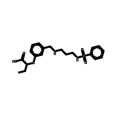 CCC(Oc1cccc(CNCCCNS(=O)(=O)c2ccccc2)c1)C(=O)O